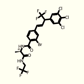 C[C@@H](NC(=O)c1ccc(C=CC(c2cc(Cl)c(Cl)c(Cl)c2)C(F)(F)F)cc1Br)C(=O)NCC(F)(F)F